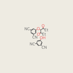 CCC(=O)C(Oc1cc(C#N)cc(C#N)c1)C(=O)CC.N#Cc1cc(O)cc(C#N)c1